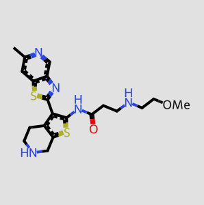 COCCNCCC(=O)Nc1sc2c(c1-c1nc3cnc(C)cc3s1)CCNC2